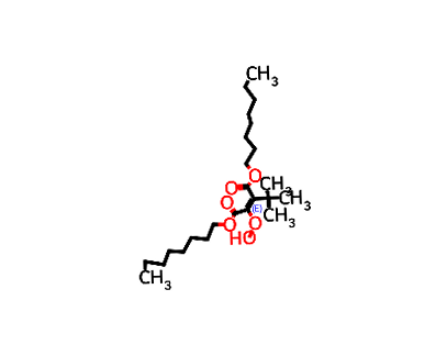 CCCCCCCCOC(=O)/C(OO)=C(\C(=O)OCCCCCCCC)C(C)(C)C